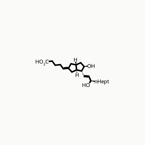 CCCCCCC[C@@H](O)/C=C/[C@@H]1[C@H]2C/C(=C/CCCC(=O)O)C[C@@H]2C[C@H]1O